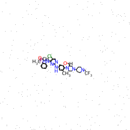 Cc1cc(Nc2ncc(Cl)c(Nc3ccccc3P(C)(C)=O)n2)cc2c1N1CCN(C3CCN(CC(F)(F)F)CC3)C[C@@H]1CO2